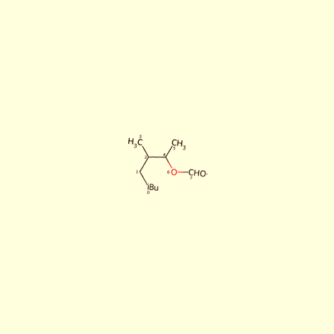 CCC(C)CC(C)C(C)O[C]=O